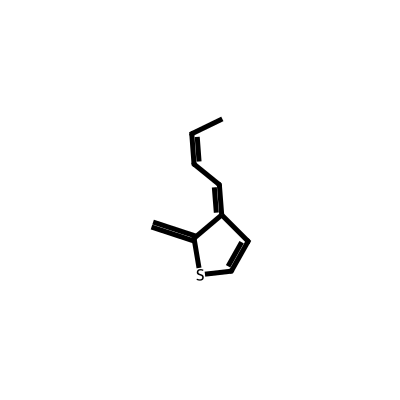 C=c1scc/c1=C/C=C\C